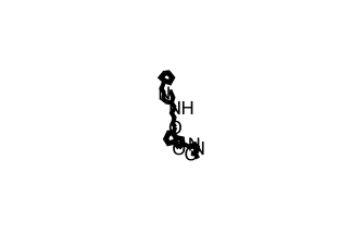 Cc1nnc(-c2cc3c(OCCCNC4CCN(Cc5ccccc5)CC4)cccc3o2)o1